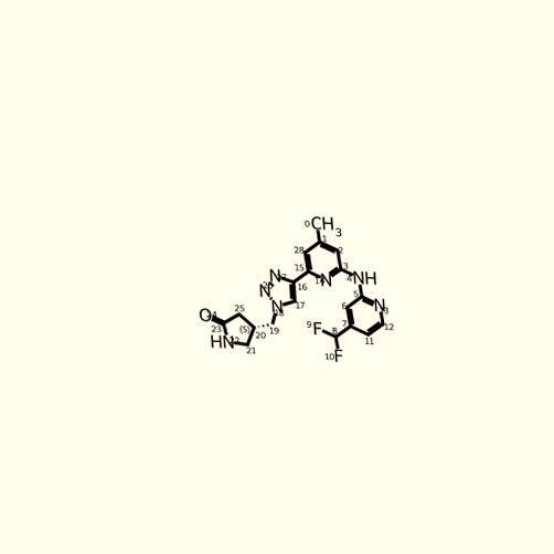 Cc1cc(Nc2cc(C(F)F)ccn2)nc(-c2cn(C[C@@H]3CNC(=O)C3)nn2)c1